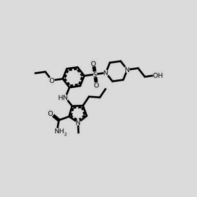 CCCc1cn(C)c(C(N)=O)c1Nc1cc(S(=O)(=O)N2CCN(CCO)CC2)ccc1OCC